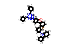 c1ccc(C2=NC(c3ccccc3)NC(c3ccc4c(c3)oc3ccc5sc6c(-n7c8ccccc8c8ccccc87)cccc6c5c34)=N2)cc1